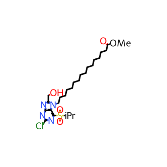 COC(=O)CCCCCCCCCCCCCCCn1c(CO)nc2nc(Cl)nc(S(=O)(=O)C(C)C)c21